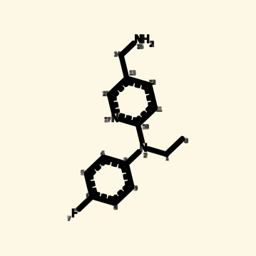 CCN(c1ccc(F)cc1)c1ccc(CN)cn1